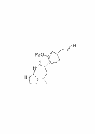 COc1cc(CC=N)ccc1[C@@H]1C[C@H](C)C2CCNC2=NN1